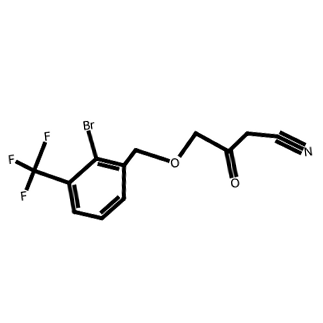 N#CCC(=O)COCc1cccc(C(F)(F)F)c1Br